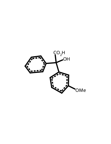 COc1cccc(C(O)(C(=O)O)c2ccccc2)c1